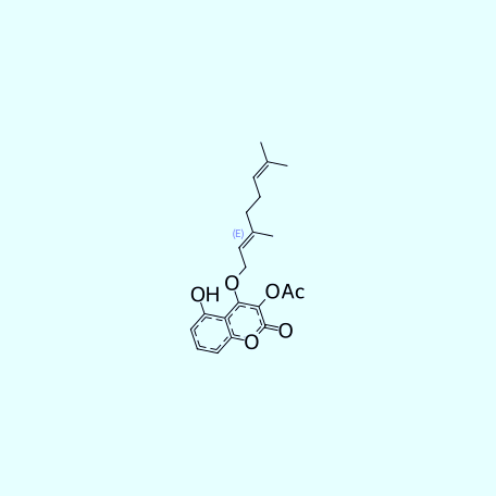 CC(=O)Oc1c(OC/C=C(\C)CCC=C(C)C)c2c(O)cccc2oc1=O